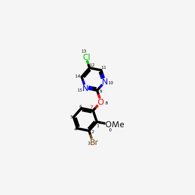 COc1c(Br)cccc1Oc1ncc(Cl)cn1